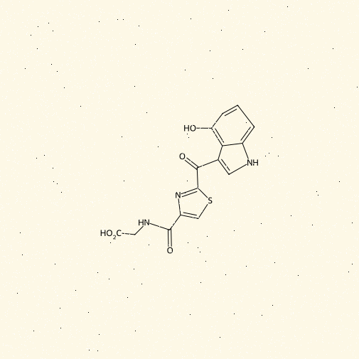 O=C(O)CNC(=O)c1csc(C(=O)c2c[nH]c3cccc(O)c23)n1